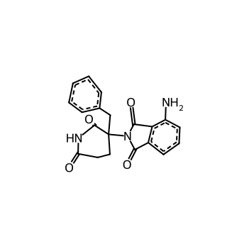 Nc1cccc2c1C(=O)N(C1(Cc3ccccc3)CCC(=O)NC1=O)C2=O